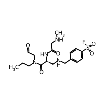 CCCN(CC=O)C(=O)[C@H](CNCc1ccc(S(=O)(=O)F)cc1)NC(=O)CNC